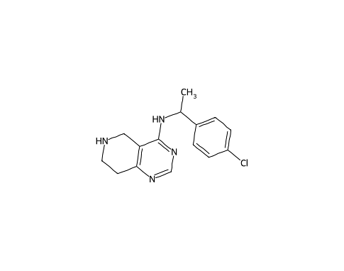 CC(Nc1ncnc2c1CNCC2)c1ccc(Cl)cc1